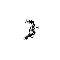 CC(=O)N1CCN(Cc2ccc(NC(=O)c3ccc(-c4cc(C(=O)Nc5ccc(N6CCOCC6)cc5)ccc4F)cc3)cc2)CC1